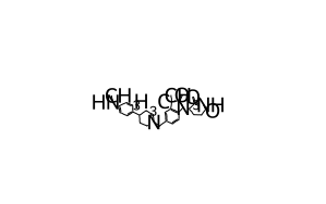 CNc1ccc(C2CCN(Cc3ccc4c(c3)C(C)(C)C(=O)N4C3CCC(=O)NC3=O)CC2)cc1